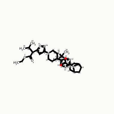 CCOC(=O)C(c1cc(N2CCC(c3cnc(N4C5CCC4CN(C(=O)OC(C)(C)C)C5)nc3)CC2)no1)C(C)C